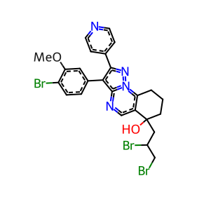 COc1cc(-c2c(-c3ccncc3)nn3c4c(cnc23)C(O)(CC(Br)CBr)CCC4)ccc1Br